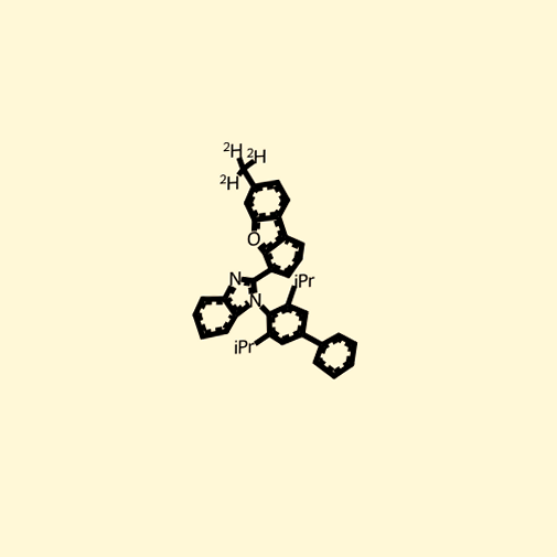 [2H]C([2H])([2H])c1ccc2c(c1)oc1c(-c3nc4ccccc4n3-c3c(C(C)C)cc(-c4ccccc4)cc3C(C)C)cccc12